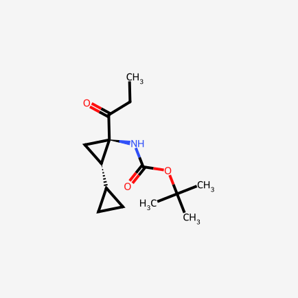 CCC(=O)[C@@]1(NC(=O)OC(C)(C)C)C[C@H]1C1CC1